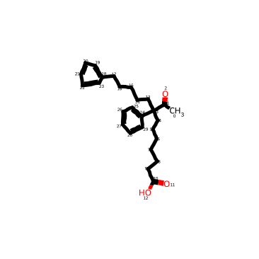 CC(=O)C(CCCCCCC(=O)O)(CCCCCc1ccccc1)c1ccccc1